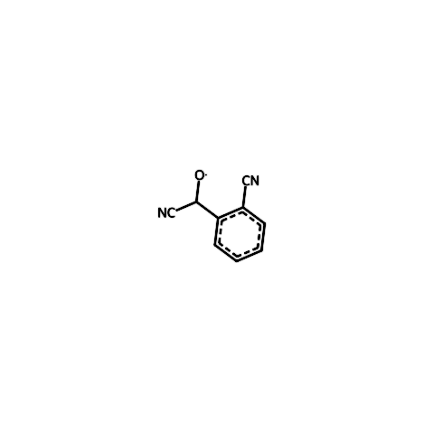 N#Cc1ccccc1C([O])C#N